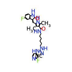 Cc1[nH]c(/C=C2\C(=O)Nc3ccc(F)cc32)c(C)c1C(=O)NCCCCCCN/C(=N/C#N)Nc1ccnc(F)c1